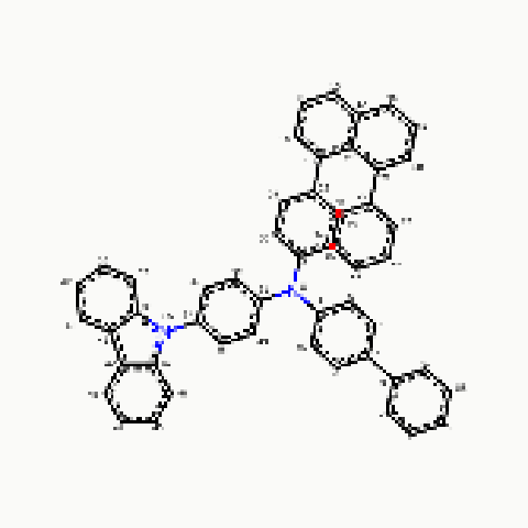 c1ccc(-c2ccc(N(c3ccc(-c4cccc5cccc(-c6ccccc6)c45)cc3)c3ccc(-n4c5ccccc5c5ccccc54)cc3)cc2)cc1